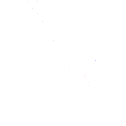 CCCCCCCCC(CCCCCCCCCCC=CCCCCCCCC(=O)O)OC(=O)CCCN(C)C